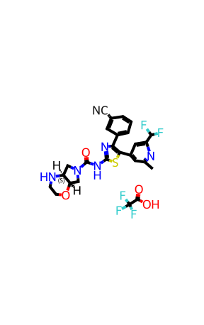 Cc1cc(-c2sc(NC(=O)N3C[C@@H]4NCCO[C@H]4C3)nc2-c2cccc(C#N)c2)cc(C(F)F)n1.O=C(O)C(F)(F)F